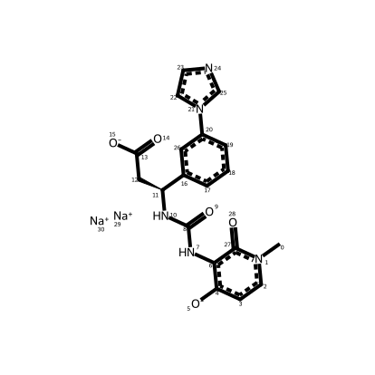 Cn1ccc([O-])c(NC(=O)N[C@@H](CC(=O)[O-])c2cccc(-n3ccnc3)c2)c1=O.[Na+].[Na+]